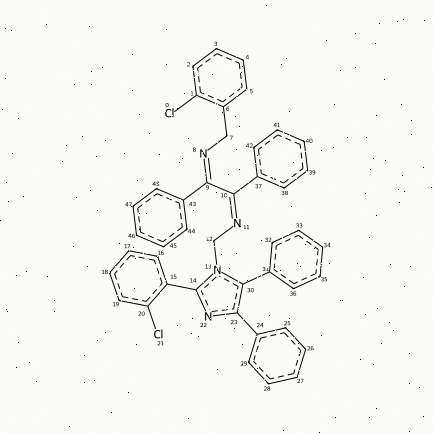 Clc1ccccc1C/N=C(\C(=N/Cn1c(-c2ccccc2Cl)nc(-c2ccccc2)c1-c1ccccc1)c1ccccc1)c1ccccc1